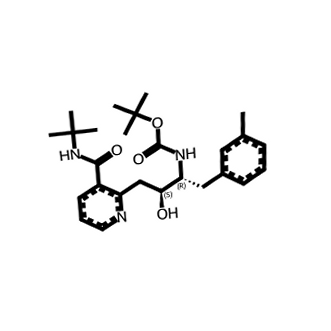 Cc1cccc(C[C@@H](NC(=O)OC(C)(C)C)[C@@H](O)Cc2ncccc2C(=O)NC(C)(C)C)c1